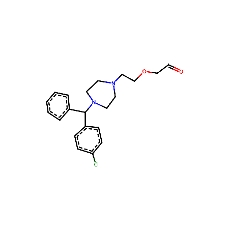 O=[C]COCCN1CCN(C(c2ccccc2)c2ccc(Cl)cc2)CC1